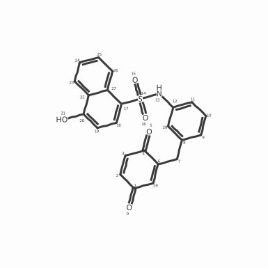 O=C1C=CC(=O)C(Cc2cccc(NS(=O)(=O)c3ccc(O)c4ccccc34)c2)=C1